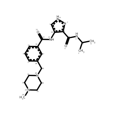 CC(C)NC(=O)c1n[nH]cc1NC(=O)c1cccc(CN2CCN(C)CC2)c1